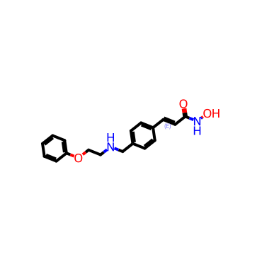 O=C(/C=C/c1ccc(CNCCOc2ccccc2)cc1)NO